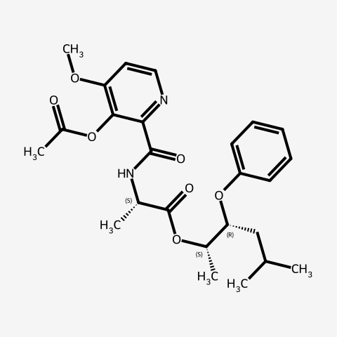 COc1ccnc(C(=O)N[C@@H](C)C(=O)O[C@@H](C)[C@@H](CC(C)C)Oc2ccccc2)c1OC(C)=O